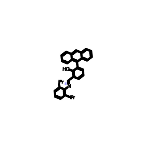 CC(C)c1cccc(C(C)C)c1/N=C/c1cccc(-c2c3ccccc3cc3ccccc23)c1O